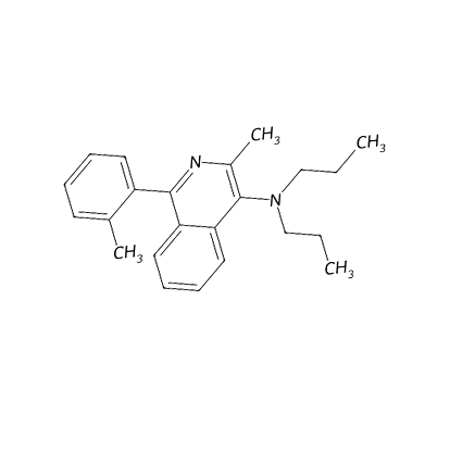 CCCN(CCC)c1c(C)nc(-c2ccccc2C)c2ccccc12